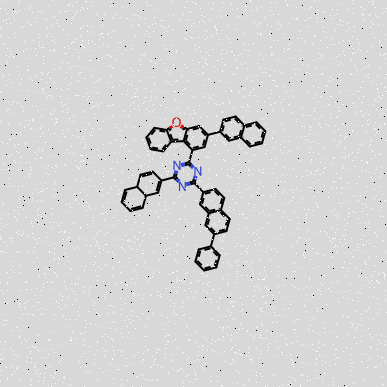 C1=CC2C=CC(c3nc(-c4ccc5ccc(-c6ccccc6)cc5c4)nc(-c4cc(-c5ccc6ccccc6c5)cc5oc6ccccc6c45)n3)=CC2C=C1